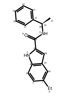 CCc1ccc2[nH]c(C(=O)N[C@H](C)c3ccccc3)cc2c1